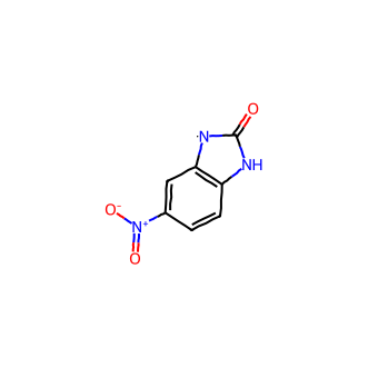 O=C1[N]c2cc([N+](=O)[O-])ccc2N1